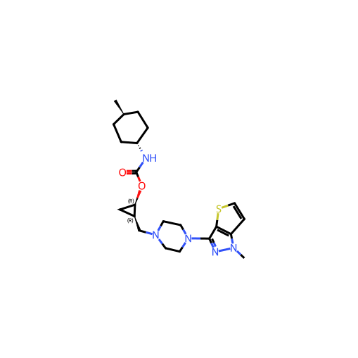 Cn1nc(N2CCN(C[C@H]3C[C@H]3OC(=O)N[C@H]3CC[C@H](C)CC3)CC2)c2sccc21